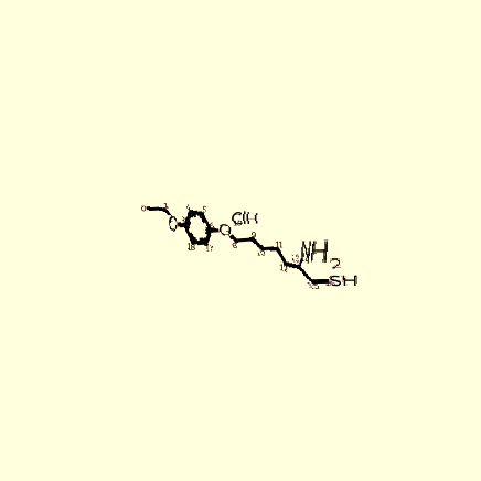 CCOc1ccc(OCCCCC[C@@H](N)CS)cc1.Cl